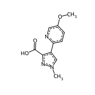 COc1ccc(-c2cn(C)nc2C(=O)O)nc1